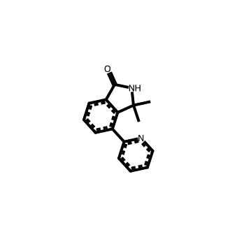 CC1(C)NC(=O)c2cccc(-c3ccccn3)c21